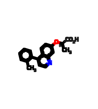 Cc1ccccc1-c1ccnc2cc(O[C@H](C)C(=O)O)ccc12